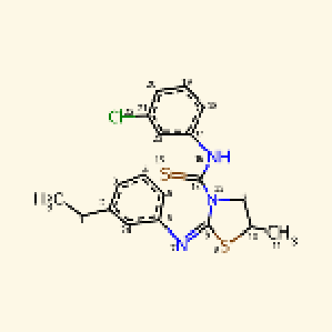 CCc1cccc(/N=C2/SC(C)CN2C(=S)Nc2cccc(Cl)c2)c1